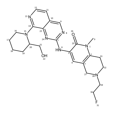 Cn1c2c(cc(Nc3ncc4ccnc(N5CCCCC5CO)c4n3)c1=O)CN(CCF)CC2